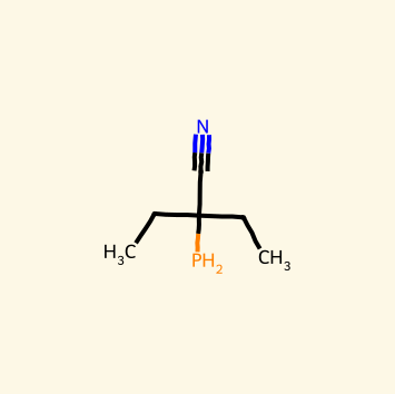 CCC(P)(C#N)CC